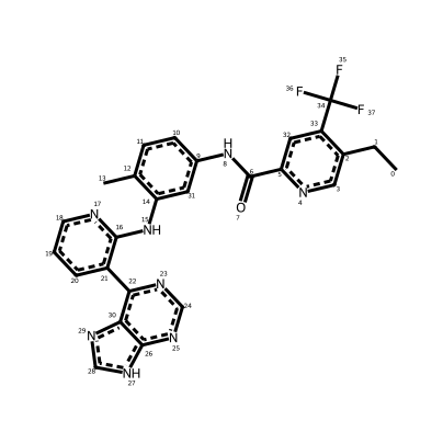 CCc1cnc(C(=O)Nc2ccc(C)c(Nc3ncccc3-c3ncnc4[nH]cnc34)c2)cc1C(F)(F)F